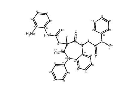 CC(C)N(C(=O)CN1C(=O)C(C)(CC(=O)Nc2ccccc2N)C(=O)N(c2ccccc2)c2ccccc21)c1ccccc1